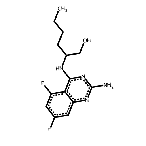 CCCCC(CO)Nc1nc(N)nc2cc(F)cc(F)c12